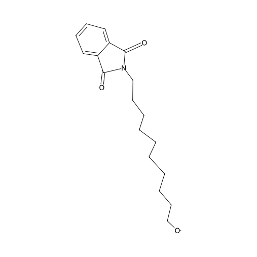 [O]CCCCCCCCCCN1C(=O)c2ccccc2C1=O